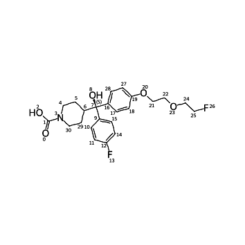 O=C(O)N1CCC([C@@](O)(c2ccc(F)cc2)c2ccc(OCCOCCF)cc2)CC1